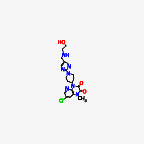 Cn1c(=O)c(=O)n(C2CCN(c3ncc(CNCCO)cn3)CC2)c2ncc(Cl)cc21